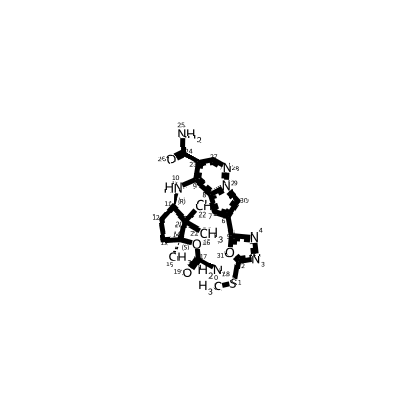 CSc1nnc(-c2cc3c(N[C@@H]4CC[C@](C)(OC(N)=O)C4(C)C)c(C(N)=O)cnn3c2)o1